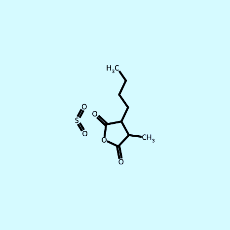 CCCCC1C(=O)OC(=O)C1C.O=S=O